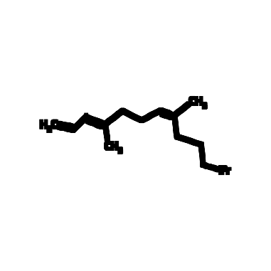 C=C/[C]=C(\C)CCC=C(C)CCCC(C)C